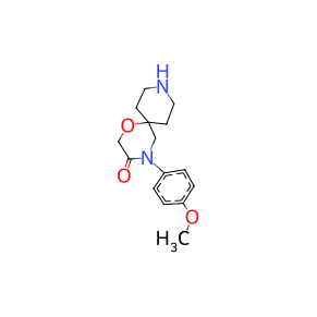 COc1ccc(N2CC3(CCNCC3)OCC2=O)cc1